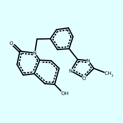 Cc1nc(-c2cccc(Cn3c(=O)ccc4cc(O)ccc43)c2)no1